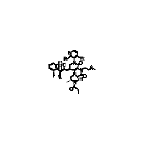 C#C/C(=C(Cl)\C=C1/CN(c2c(CC)ccnc2C(C)C)C(=O)C2=C1N1C[C@@H](C)N(C(=O)C=C)C[C@@H]1C(=O)N2CCN(C)C)c1c(O)cccc1F